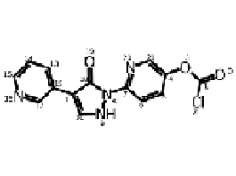 O=C(Cl)Oc1ccc(-n2[nH]cc(-c3cccnc3)c2=O)nc1